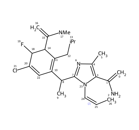 C=C(N)c1c(C)nc(C(C)C2=C(CC(C)C)C(C(=C)NC)C(F)C(Cl)=C2)n1/C=C\C